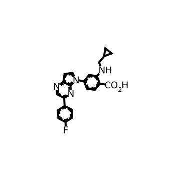 O=C(O)c1ccc(-n2ccc3ncc(-c4ccc(F)cc4)nc32)cc1NCC1CC1